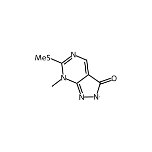 CSC1=NC=C2C(=O)[N]N=C2N1C